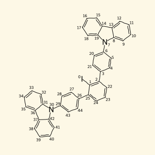 Ic1c(-c2ccc(-n3c4ccccc4c4ccccc43)cc2)cccc1-c1ccc(-n2c3ccccc3c3ccccc32)cc1